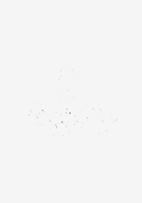 C1=CCC2Sc3cccc(-c4ccc(N(c5ccc(-c6ccccc6)cc5)c5cc6c7ccccc7ccc6c6ccccc56)cc4)c3C2=C1